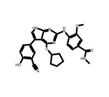 CNC(=O)c1ccc(Nc2nc(OC3CCCC3)c3c(-c4ccc(O)c(C#N)c4)c[nH]c3n2)c(OC)c1